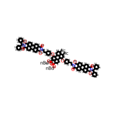 CCCCOC(=O)c1ccc2c3c(Oc4ccc(CCN5C(=O)c6ccc7c8ccc9c%10c(ccc(c%11ccc(c6c7%11)C5=O)c%108)C(=O)N(C(c5ccccc5)c5ccccc5)C9=O)cc4)cc(C(C)=O)c4c(C(C)=O)ccc(c5c(Oc6ccc(CCN7C(=O)c8ccc9c%10ccc%11c%12c(ccc(c%13ccc(c8c9%13)C7=O)c%12%10)C(=O)N(C(c7ccccc7)c7ccccc7)C%11=O)cc6)cc(C(=O)OCCCC)c1c25)c43